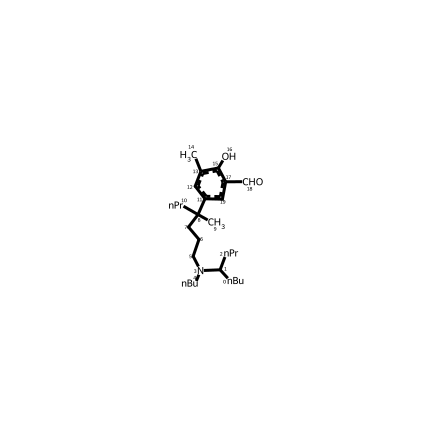 CCCCC(CCC)N(CCCC)CCCC(C)(CCC)c1cc(C)c(O)c(C=O)c1